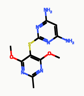 COc1nc(C)nc(OC)c1Sc1nc(N)cc(N)n1